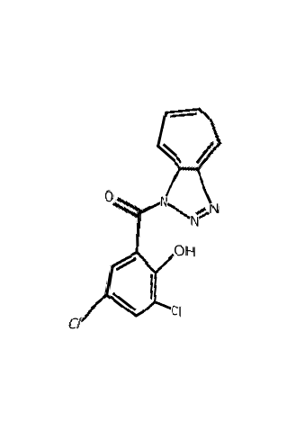 O=C(c1cc(Cl)cc(Cl)c1O)n1nnc2ccccc21